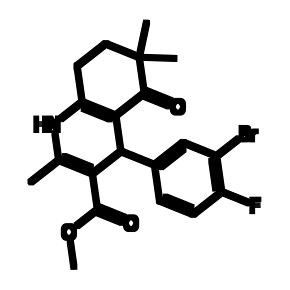 COC(=O)C1=C(C)NC2=C(C(=O)C(C)(C)CC2)C1c1ccc(F)c(Br)c1